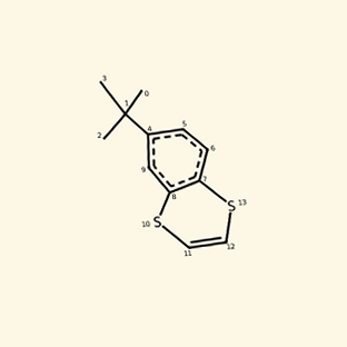 CC(C)(C)c1ccc2c(c1)SC=CS2